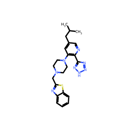 CC(C)Cc1cnc(-c2nn[nH]n2)c(N2CCN(Cc3nc4ccccc4s3)CC2)c1